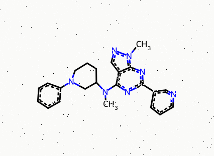 CN(c1nc(-c2cccnc2)nc2c1cnn2C)C1CCCN(c2ccccc2)C1